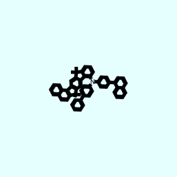 CC1(C)c2cc3c(cc2-c2c(N(c4ccc(-c5ccccc5)cc4)c4ccc(-c5cccc6ccccc56)cc4)cccc21)C(C)(C)c1ccc2ccccc2c1-3